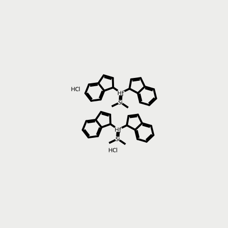 C[Si](C)=[Hf]([CH]1C=Cc2ccccc21)[CH]1C=Cc2ccccc21.C[Si](C)=[Hf]([CH]1C=Cc2ccccc21)[CH]1C=Cc2ccccc21.Cl.Cl